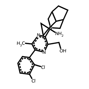 Cc1nc(N2CC3CCC(C2)C3C2(N)CC2)c(CO)nc1-c1cccc(Cl)c1Cl